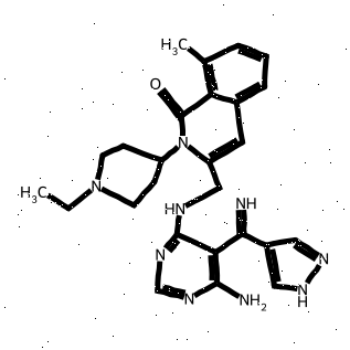 CCN1CCC(n2c(CNc3ncnc(N)c3C(=N)c3cn[nH]c3)cc3cccc(C)c3c2=O)CC1